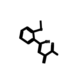 C=C(/C=C(\O)c1ccccc1OC)C(C)=O